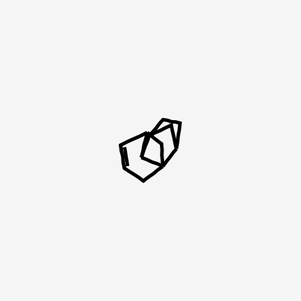 C1=CC2CC3(C1)C1CCC(C1)C23